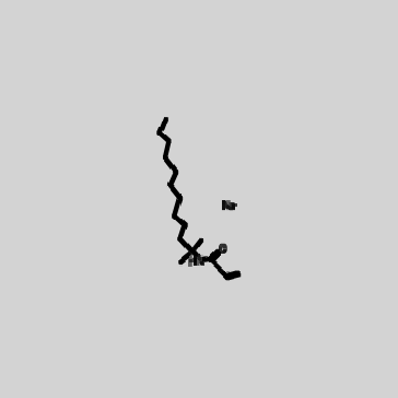 C=CC(=O)NC(C)(C)CCCCCCCCCC.[Na]